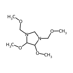 COCN1CN(COC)C(OC)C1OC